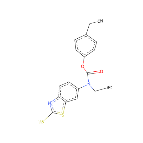 CC(C)CN(C(=O)Oc1ccc(CC#N)cc1)c1ccc2nc(S)sc2c1